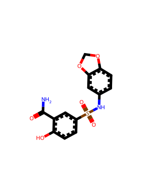 NC(=O)c1cc(S(=O)(=O)Nc2ccc3c(c2)OCO3)ccc1O